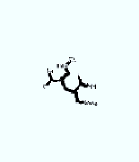 CCN/C=C(/C/C(=C/NC)C(=N)I)C(=N)Cl